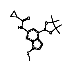 CC1(C)OB(c2cc(NC(=O)C3CC3)nc3c2ccn3SI)OC1(C)C